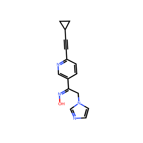 O/N=C(\Cn1ccnc1)c1ccc(C#CC2CC2)nc1